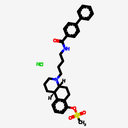 CS(=O)(=O)Oc1cccc2c1CC[C@@H]1[C@@H]2CCCN1CCCCNC(=O)c1ccc(-c2ccccc2)cc1.Cl